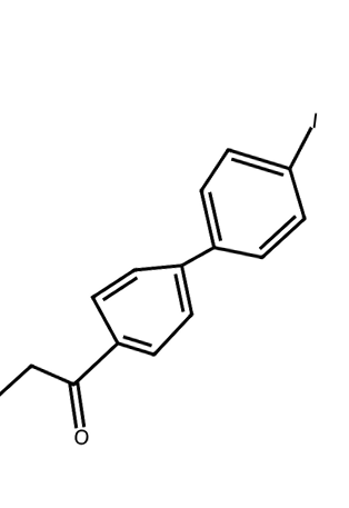 O=C(CBr)c1ccc(-c2ccc(I)cc2)cc1